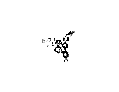 CCOC(=O)c1cnn(C2CCCN(c3cc(Cl)ccc3-c3ccc(N4CCN(CC5CC5(F)F)CC4)cc3)C2)c1C(F)(F)F